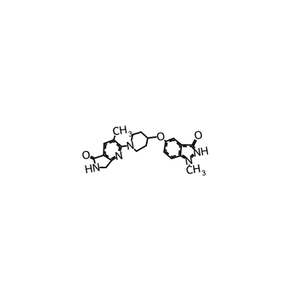 Cc1cc2c(nc1N1CCC(Oc3ccc4c(c3)c(=O)[nH]n4C)CC1)CNC2=O